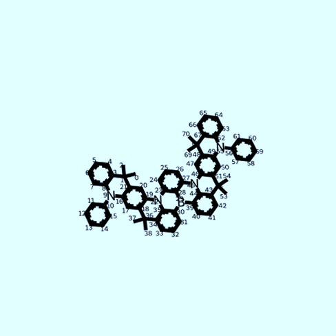 CC1(C)c2ccccc2N(c2ccccc2)c2cc3c(cc21)N1c2cccc4c2B(c2cccc(c21)C3(C)C)c1cccc2c1N4c1cc3c(cc1C2(C)C)N(c1ccccc1)c1ccccc1C3(C)C